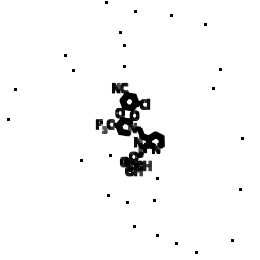 N#Cc1cc(Cl)cc(Oc2c(C(F)(F)F)ccn(Cc3nn(COP(=O)(O)O)c4ncccc34)c2=O)c1